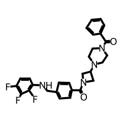 O=C(c1ccccc1)N1CCN(C2CN(C(=O)c3ccc(CNc4ccc(F)c(F)c4F)cc3)C2)CC1